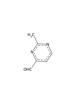 Cc1nccc(C=O)n1